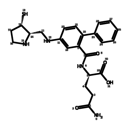 NC(=O)CC[C@H](NC(=O)c1cc(NC[C@@H]2NCC[C@@H]2S)ccc1-c1ccccc1)C(=O)O